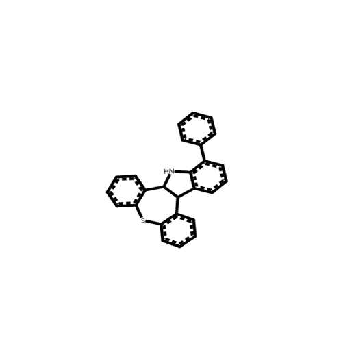 c1ccc(-c2cccc3c2NC2c4ccccc4Sc4ccccc4C32)cc1